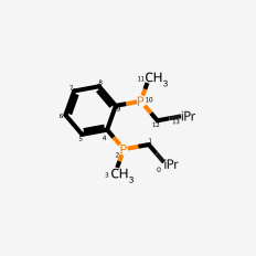 CC(C)CP(C)c1ccccc1P(C)CC(C)C